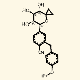 CC(C)Oc1ccc(Cc2cc([C@@H]3OC4(CC4)[C@@H](O)[C@H](O)[C@H]3O)ccc2C#N)cc1